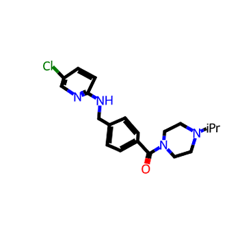 CC(C)N1CCN(C(=O)c2ccc(CNc3ccc(Cl)cn3)cc2)CC1